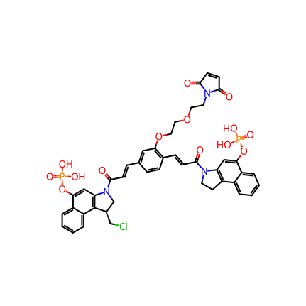 O=C1C=CC(=O)N1CCOCCOc1cc(/C=C/C(=O)N2C[C@@H](CCl)c3c2cc(OP(=O)(O)O)c2ccccc32)ccc1/C=C/C(=O)N1CCc2c1cc(OP(=O)(O)O)c1ccccc21